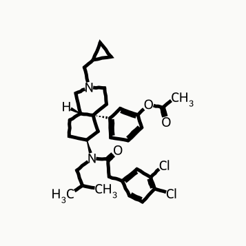 CC(=O)Oc1cccc([C@@]23CCN(CC4CC4)C[C@H]2CC[C@H](N(CC(C)C)C(=O)Cc2ccc(Cl)c(Cl)c2)C3)c1